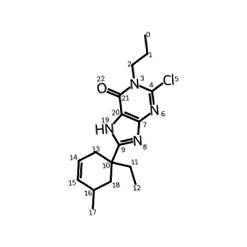 CCCn1c(Cl)nc2nc(C3(CC)CC=CC(C)C3)[nH]c2c1=O